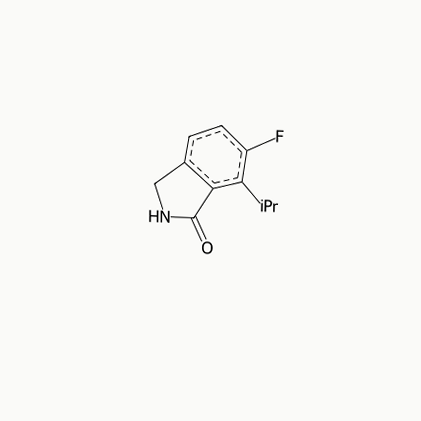 CC(C)c1c(F)ccc2c1C(=O)NC2